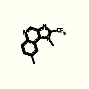 Cc1ccc2ncc3nc(C(F)(F)F)n(C)c3c2c1